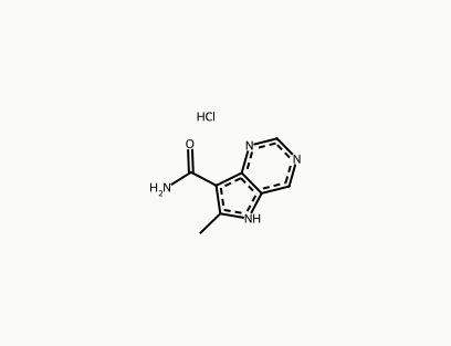 Cc1[nH]c2cncnc2c1C(N)=O.Cl